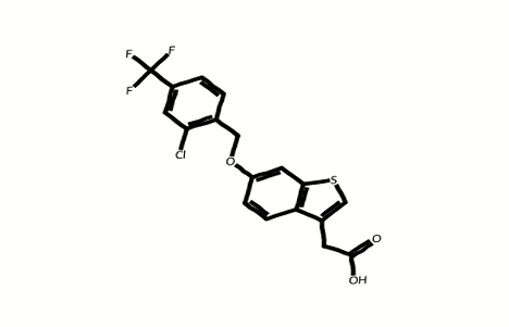 O=C(O)Cc1csc2cc(OCc3ccc(C(F)(F)F)cc3Cl)ccc12